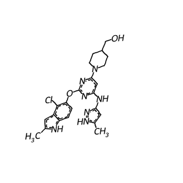 Cc1cc(Nc2cc(N3CCC(CO)CC3)nc(Oc3ccc4[nH]c(C)cc4c3Cl)n2)n[nH]1